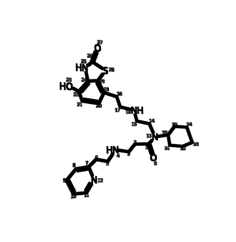 O=C(CCNCCc1ccccn1)N(CCNCCc1ccc(O)c2[nH]c(=O)sc12)C1CCCCC1